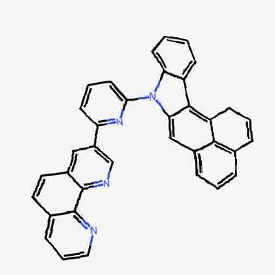 C1=Cc2cccc3cc4c(c(c23)C1)c1ccccc1n4-c1cccc(-c2cnc3c(ccc4cccnc43)c2)n1